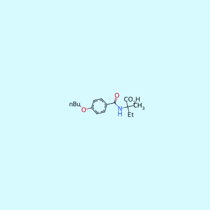 CCCCOc1ccc(C(=O)NC(C)(CC)C(=O)O)cc1